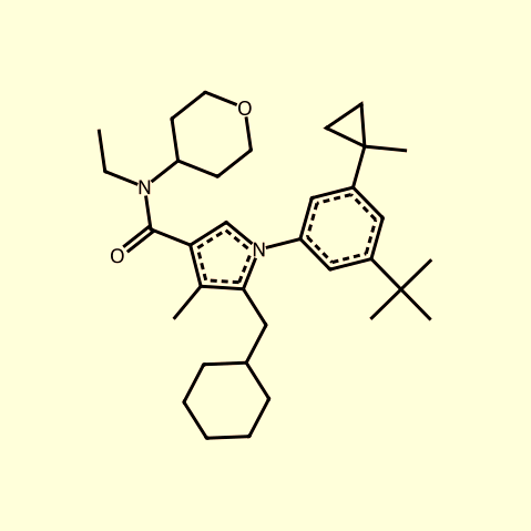 CCN(C(=O)c1cn(-c2cc(C(C)(C)C)cc(C3(C)CC3)c2)c(CC2CCCCC2)c1C)C1CCOCC1